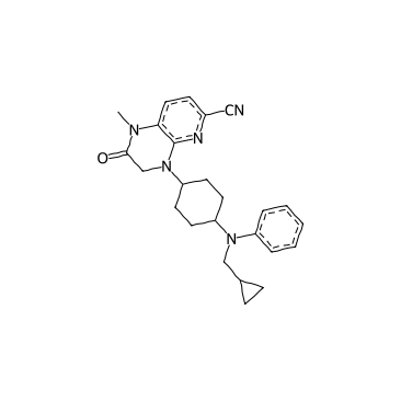 CN1C(=O)CN(C2CCC(N(CC3CC3)c3ccccc3)CC2)c2nc(C#N)ccc21